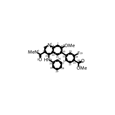 CNC(=O)c1cnc2cc(OC)c(-c3ccc(C(=O)OC)c(F)c3)cc2c1Nc1ccccc1